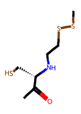 CSSCCN[C@@H](CS)C(C)=O